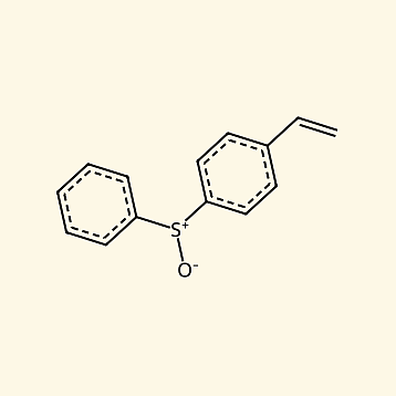 C=Cc1ccc([S+]([O-])c2ccccc2)cc1